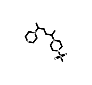 CC(CCC(C)N1CCN(S(C)(=O)=O)CC1)N1CCSCC1